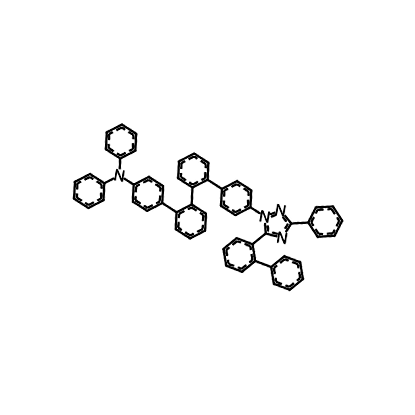 c1ccc(-c2nc(-c3ccccc3-c3ccccc3)n(-c3ccc(-c4ccccc4-c4ccccc4-c4ccc(N(c5ccccc5)c5ccccc5)cc4)cc3)n2)cc1